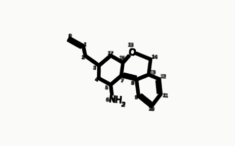 C=CCC1CC(N)C2=C3C=CC=CC3COC2C1